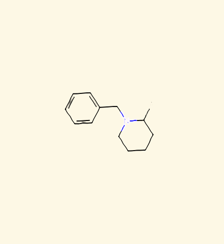 CC(=O)C1CCCCN1Cc1ccccc1